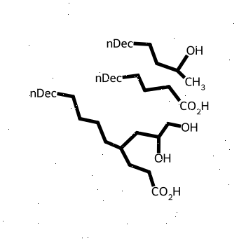 CCCCCCCCCCCCC(C)O.CCCCCCCCCCCCCC(=O)O.CCCCCCCCCCCCCCC(CCC(=O)O)CC(O)CO